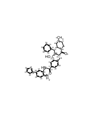 CN1CCN(C(=O)[C@H](Cc2ccc(C(=O)Nc3cc(-c4cccs4)ccc3N)cc2)N(Cc2ccccc2)C(=O)O)CC1